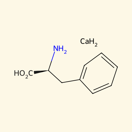 N[C@@H](Cc1ccccc1)C(=O)O.[CaH2]